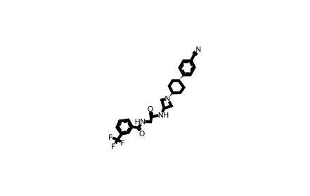 N#Cc1ccc([C@H]2CC[C@@H](N3CC(NC(=O)CNC(=O)c4cccc(C(F)(F)F)c4)C3)CC2)cc1